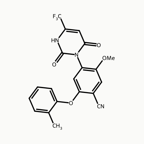 COc1cc(C#N)c(Oc2ccccc2C)cc1-n1c(=O)cc(C(F)(F)F)[nH]c1=O